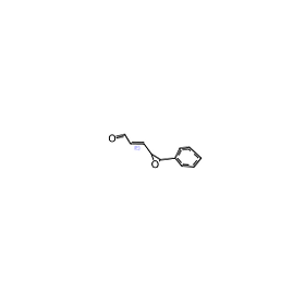 O=C/C=C/C1OC1c1ccccc1